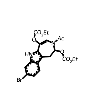 CCOC(=O)OC1=CN(C(C)=O)C(OC(=O)OCC)Cc2c1[nH]c1cc(Br)ccc21